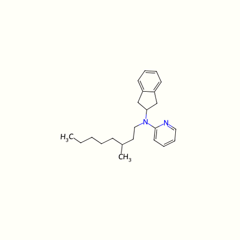 CCCCCC(C)CCN(c1ccccn1)C1Cc2ccccc2C1